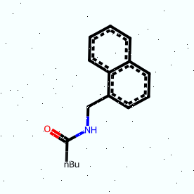 CCCCC(=O)NCc1cccc2ccccc12